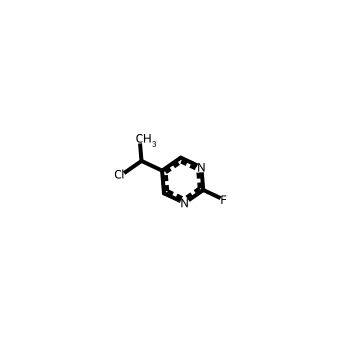 CC(Cl)c1cnc(F)nc1